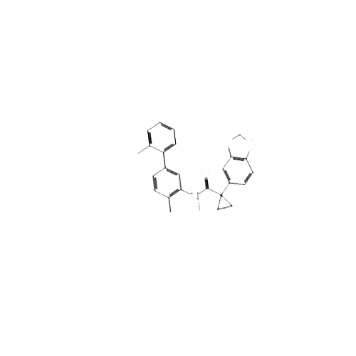 Cc1ccc(-c2ccccc2C)cc1NC(=O)C1(c2ccc3c(c2)OCO3)CC1